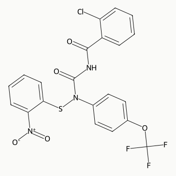 O=C(NC(=O)N(Sc1ccccc1[N+](=O)[O-])c1ccc(OC(F)(F)F)cc1)c1ccccc1Cl